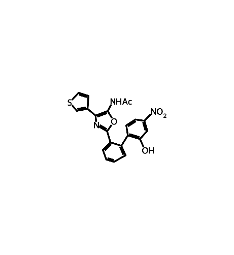 CC(=O)Nc1oc(-c2ccccc2-c2ccc([N+](=O)[O-])cc2O)nc1-c1ccsc1